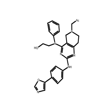 CC(=O)CN1CCc2nc(Nc3ccc(-c4cnco4)cc3)nc(N(CCO)c3ccccc3)c2C1